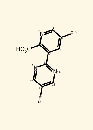 O=C(O)c1ncc(F)cc1-c1ncc(F)cn1